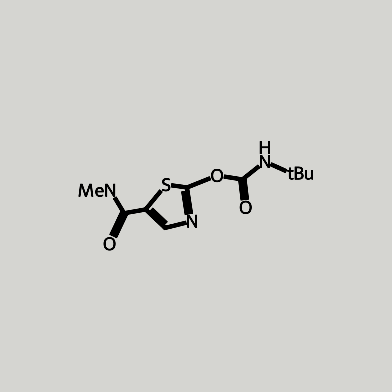 CNC(=O)c1cnc(OC(=O)NC(C)(C)C)s1